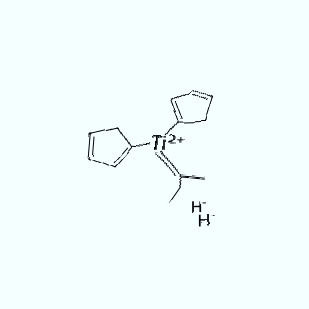 C[C](C)=[Ti+2]([C]1=CC=CC1)[C]1=CC=CC1.[H-].[H-]